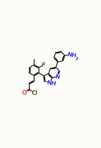 Cc1ccc(/C=C/C(=O)Cl)c(-c2c[nH]c3ncc(-c4cccc(N)c4)cc23)c1F